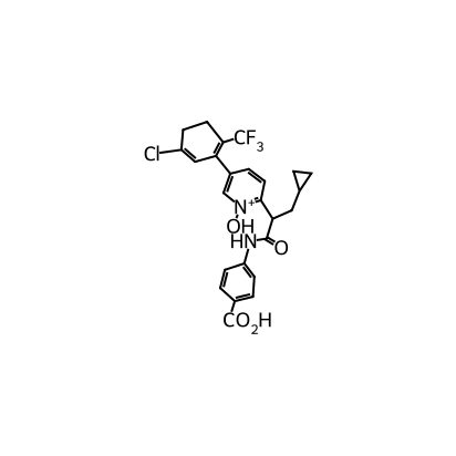 O=C(O)c1ccc(NC(=O)C(CC2CC2)c2ccc(C3=C(C(F)(F)F)CCC(Cl)=C3)c[n+]2O)cc1